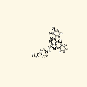 CN1CCN(CCn2nc(-c3ccccc3)c3c(Cl)c(-c4cccc(=O)[nH]4)nnc32)CC1